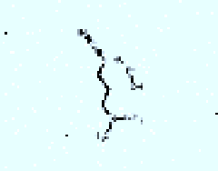 CCO.CN(C)CCCN=C=N.Cl